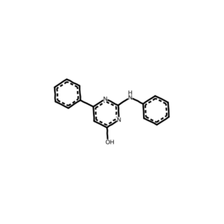 Oc1cc(-c2ccccc2)nc(Nc2ccccc2)n1